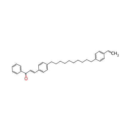 C=Cc1ccc(CCCCCCCCCCc2ccc(C=CC(=O)c3ccccc3)cc2)cc1